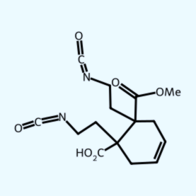 COC(=O)C1(CCN=C=O)CC=CCC1(CCN=C=O)C(=O)O